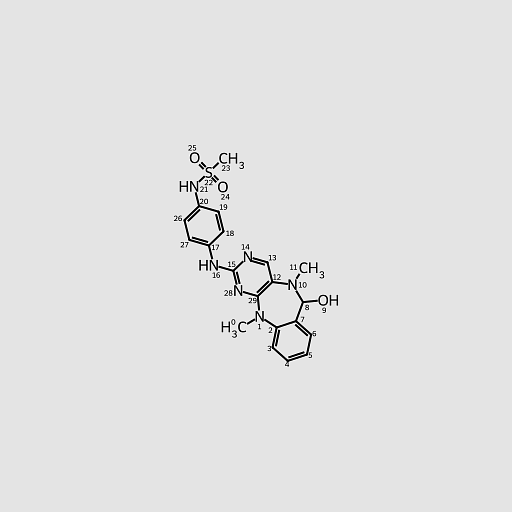 CN1c2ccccc2C(O)N(C)c2cnc(Nc3ccc(NS(C)(=O)=O)cc3)nc21